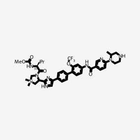 COC(=O)N[C@H](C(=O)N1C[Si](C)(C)CC1c1nc(-c2ccc(-c3ccc(NC(=O)c4ccc(N5CCNCC5C)nc4)cc3OC(F)(F)F)cc2)c[nH]1)C(C)C